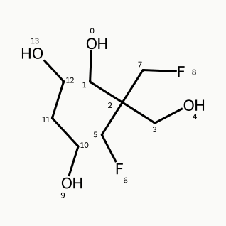 OCC(CO)(CF)CF.OCCCO